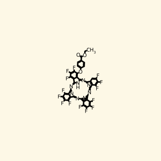 CCOC(=O)c1ccc(Oc2c(F)c(F)c(F)c3c4nc5nc(nc6c7c(F)c(F)c(F)c(F)c7c(nc7nc(nc([nH]4)c23)-c2cc(F)c(F)c(F)c2-7)n6F)-c2c(F)c(F)c(F)c(F)c2-5)cc1